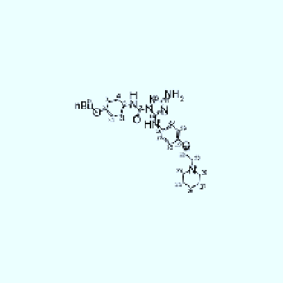 CCCCOc1ccc(NC(=O)n2nc(N)nc2Nc2ccc(OCCN3CCCCC3)cc2)cc1